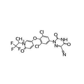 CC(n1cc(Oc2c(Cl)cc(-n3nc(C#N)c(=O)[nH]c3=O)cc2Cl)ccc1=O)C(F)(F)F